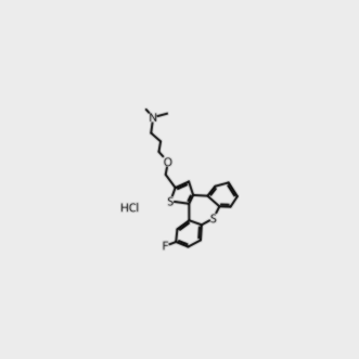 CN(C)CCCOCc1cc2c(s1)-c1cc(F)ccc1Sc1ccccc1-2.Cl